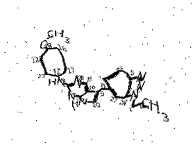 CCn1nnc2ccc(-c3c[nH]c4nc(N[C@H]5CC[C@@H](OC)CC5)ncc34)cc21